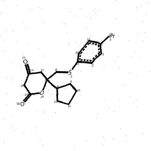 CC(C)c1ccc(SCC2(C3CCCC3)CC(=O)CC(=O)O2)cc1